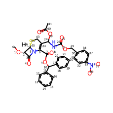 CO[C@H]1C(=O)N2C(C(=O)OC(c3ccccc3)c3ccccc3)=C(C(NC(=O)OCc3ccc([N+](=O)[O-])cc3)OC(C)=O)CS[C@H]12